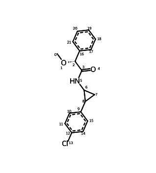 CO[C@@H](C(=O)NC1CC1c1ccc(Cl)cc1)c1ccccc1